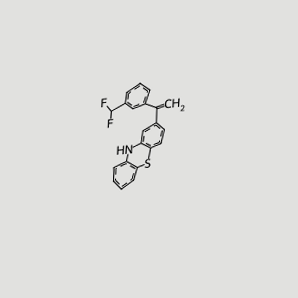 C=C(c1cccc(C(F)F)c1)c1ccc2c(c1)Nc1ccccc1S2